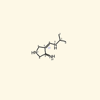 CC(C)N/C=C1/CNCC1=N